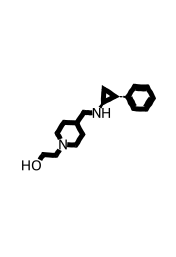 OCCN1CCC(CN[C@H]2C[C@@H]2c2ccccc2)CC1